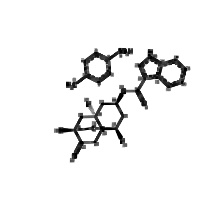 Cc1ccc(S(=O)(=O)O)cc1.O=C(O[C@@H]1C[C@@H]2C[C@@H]3C[C@H](C1)N2CC3=O)c1c[nH]c2ccccc12